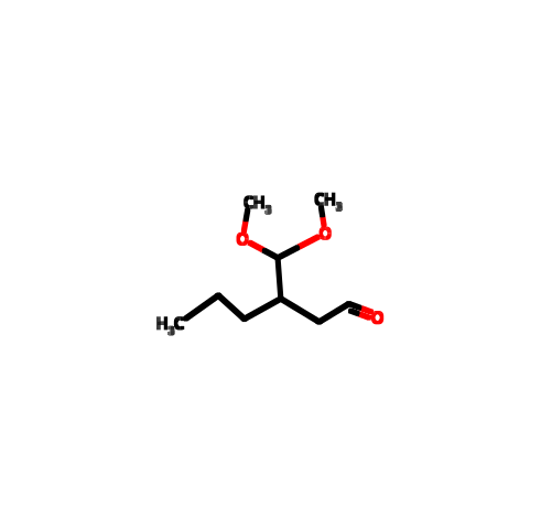 CCCC(CC=O)C(OC)OC